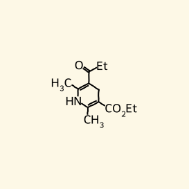 CCOC(=O)C1=C(C)NC(C)=C(C(=O)CC)C1